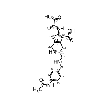 CC(=O)Nc1ccc(CNC[C@@H]2Cc3c(sc(NC(=O)C(=O)O)c3C(=O)O)CN2)cc1